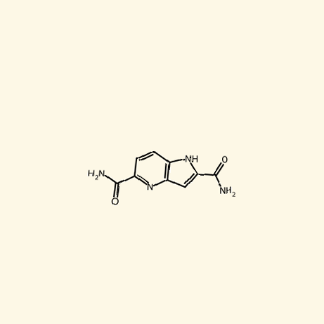 NC(=O)c1ccc2[nH]c(C(N)=O)cc2n1